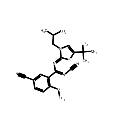 COc1ccc(C#N)cc1C(=NC#N)/N=c1\sc(C(C)(C)C)cn1CC(C)C